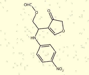 O=COCC(Nc1ccc([N+](=O)[O-])cc1)C1=COCC1=O